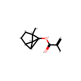 C=C(C)C(=O)OC12C3C4CCC1(C)C432